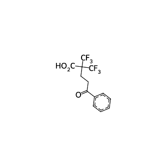 O=C(CCC(C(=O)O)(C(F)(F)F)C(F)(F)F)c1ccccc1